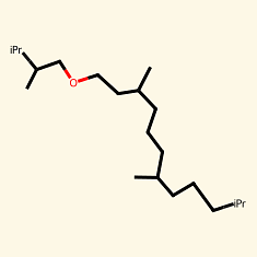 CC(C)CCCC(C)CCCC(C)CCOCC(C)C(C)C